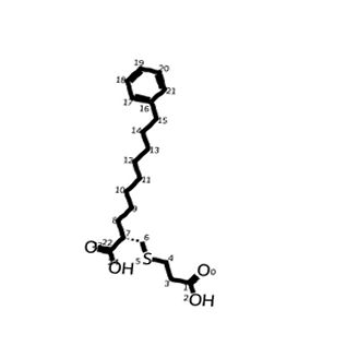 O=C(O)CCSC[C@@H](CCCCCCCCc1ccccc1)C(=O)O